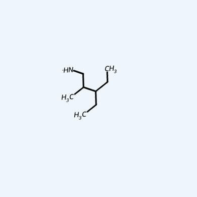 CCC(CC)C(C)C[NH]